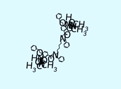 CN(C)S(=O)(=O)Nc1cc(C(=O)CN(CCCCCCN(CC(=O)c2ccc(OCc3ccccc3)c(NS(=O)(=O)N(C)C)c2)Cc2ccccc2)Cc2ccccc2)ccc1OCc1ccccc1